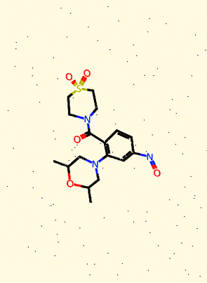 CC1CN(c2cc(N=O)ccc2C(=O)N2CCS(=O)(=O)CC2)CC(C)O1